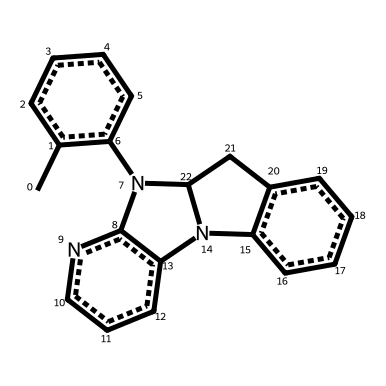 Cc1ccccc1N1c2ncccc2N2c3ccccc3CC21